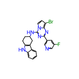 Fc1cncc(-c2nc(N[C@@H]3CCc4[nH]c5ccccc5c4C3)n3ccc(Br)c3n2)c1